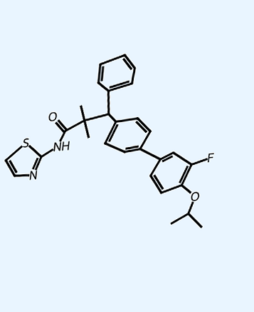 CC(C)Oc1ccc(-c2ccc(C(c3ccccc3)C(C)(C)C(=O)Nc3nccs3)cc2)cc1F